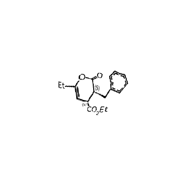 CCOC(=O)[C@H]1C=C(CC)OC(=O)[C@H]1Cc1ccccc1